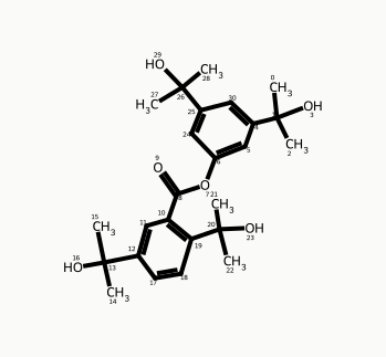 CC(C)(O)c1cc(OC(=O)c2cc(C(C)(C)O)ccc2C(C)(C)O)cc(C(C)(C)O)c1